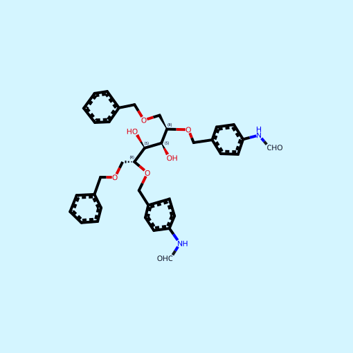 O=CNc1ccc(CO[C@H](COCc2ccccc2)[C@@H](O)[C@H](O)[C@@H](COCc2ccccc2)OCc2ccc(NC=O)cc2)cc1